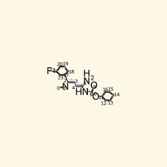 C=N/C(=C\C=C(/N)NC(=O)Oc1ccccc1)c1cccc(F)c1